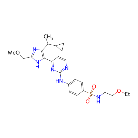 CCOCCNS(=O)(=O)c1ccc(Nc2nccc(-c3[nH]c(COC)nc3C(C)C3CC3)n2)cc1